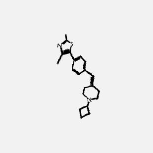 Cc1nc(C)c(-c2ccc(C=C3CCN(C4CCC4)CC3)cc2)s1